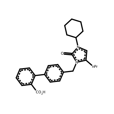 CCCc1cn(C2CCCCC2)c(=O)n1Cc1ccc(-c2ccccc2C(=O)O)cc1